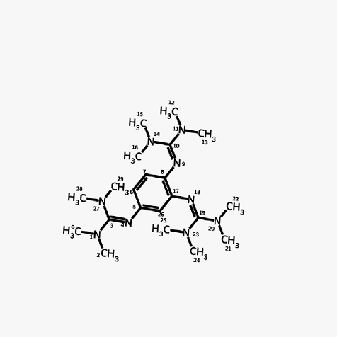 CN(C)C(=Nc1ccc(N=C(N(C)C)N(C)C)c(N=C(N(C)C)N(C)C)c1)N(C)C